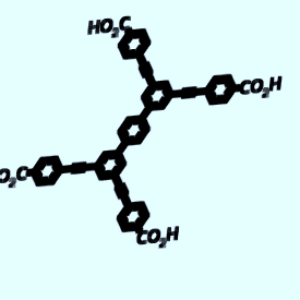 O=C(O)c1ccc(C#Cc2cc(C#Cc3ccc(C(=O)O)cc3)cc(-c3ccc(-c4cc(C#Cc5ccc(C(=O)O)cc5)cc(C#Cc5ccc(C(=O)O)cc5)c4)cc3)c2)cc1